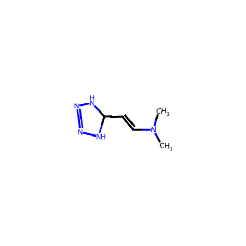 CN(C)C=CC1NN=NN1